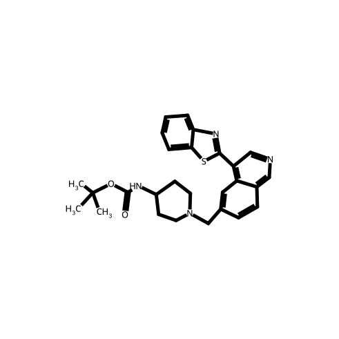 CC(C)(C)OC(=O)NC1CCN(Cc2ccc3cncc(-c4nc5ccccc5s4)c3c2)CC1